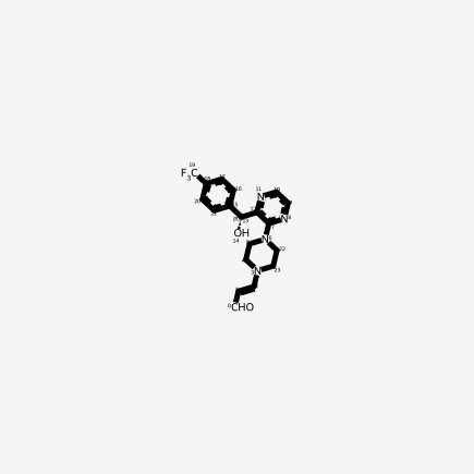 O=CC=CN1CCN(c2nccnc2[C@H](O)c2ccc(C(F)(F)F)cc2)CC1